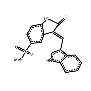 CNS(=O)(=O)c1ccc2c(c1)/C(=C\c1c[nH]c3ccccc13)C(=O)N2